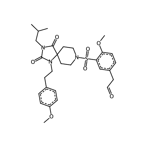 COc1ccc(CCN2C(=O)N(CC(C)C)C(=O)C23CCN(S(=O)(=O)c2cc(CC=O)ccc2OC)CC3)cc1